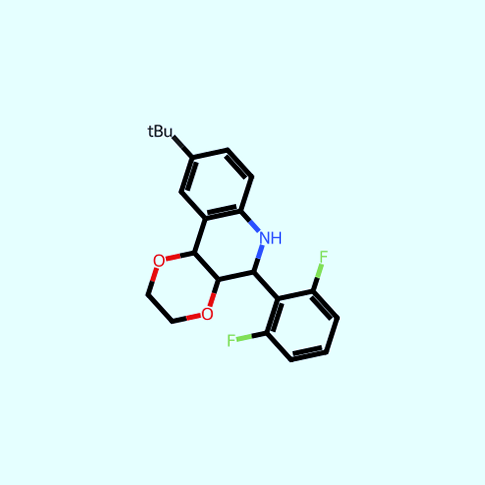 CC(C)(C)c1ccc2c(c1)C1OCCOC1C(c1c(F)cccc1F)N2